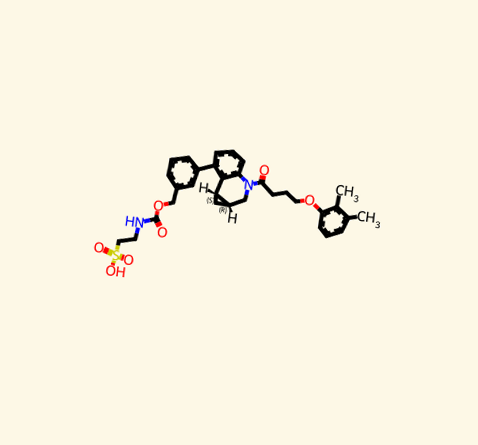 Cc1cccc(OCCCC(=O)N2C[C@@H]3C[C@@H]3c3c(-c4cccc(COC(=O)NCCS(=O)(=O)O)c4)cccc32)c1C